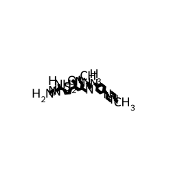 CCn1c(=O)c(-c2ccc(/C(N)=N/NN)s2)cc2cnc(Nc3ccc(N4CCN(C)CC4)cc3)nc21